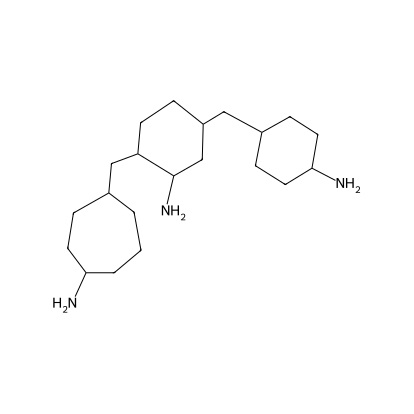 NC1CCC(CC2CCC(CC3CCCC(N)CC3)C(N)C2)CC1